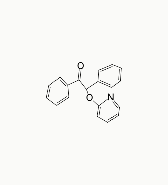 O=C(c1ccccc1)C(Oc1ccccn1)c1ccccc1